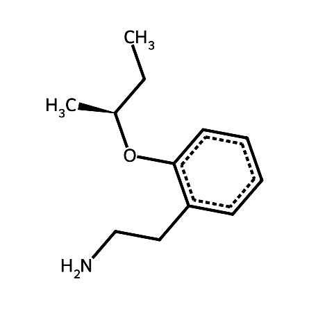 CC[C@H](C)Oc1ccccc1CCN